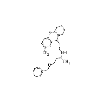 CC(CCOCc1ccccc1)NCCN1c2ccccc2Sc2ccc(C(F)(F)F)cc21